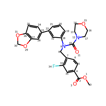 COC(=O)c1ccc(CN(C(=O)N2CCOCC2)c2cccc(-c3ccc4c(c3)OCO4)c2)c(F)c1